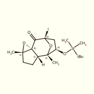 CC(C)(C)[Si](C)(C)O[C@@H]1C[C@]2(I)O[C@@]1(C)[C@@H]1CC[C@]3(C)O[C@]13C2=O